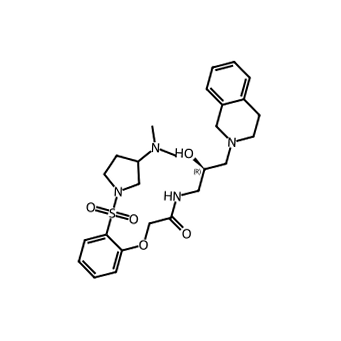 CN(C)C1CCN(S(=O)(=O)c2ccccc2OCC(=O)NC[C@@H](O)CN2CCc3ccccc3C2)C1